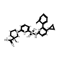 Cc1ccccc1-c1nc(NS(=O)(=O)c2cccc(N3CCC[C@@](C)(C(=O)O)C3)n2)ccc1C1CC1